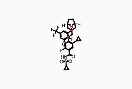 O=C(NS(=O)(=O)C1CC1)c1cc(C2CC2)c(OCC2C[C@H]3CC[C@@H](C2)N3Cc2cc(C(F)(F)F)cc(Cl)c2F)cc1F